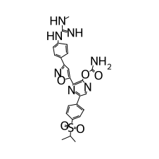 CNC(=N)Nc1ccc(-c2cc(-c3nc(-c4ccc(S(=O)(=O)C(C)C)cc4)cnc3OC(N)=O)on2)cc1